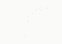 CCCCCCCC/C=C\CCCCCCCC(=O)CC(COC(=O)/C=C(/C)C=CC=C(C)C=CC1=C(C)CCCC1(C)C)C(=O)CCCCCCC/C=C\CCCCCCCC